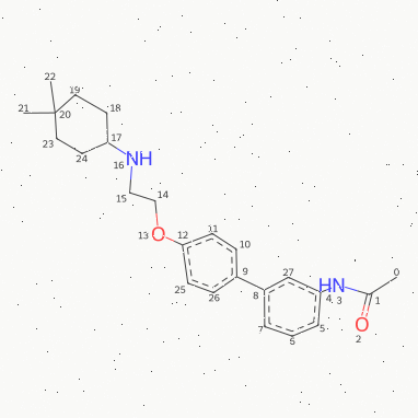 CC(=O)Nc1cccc(-c2ccc(OCCNC3CCC(C)(C)CC3)cc2)c1